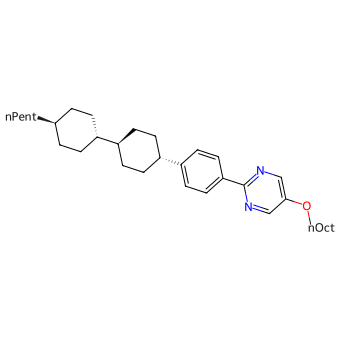 CCCCCCCCOc1cnc(-c2ccc([C@H]3CC[C@H]([C@H]4CC[C@H](CCCCC)CC4)CC3)cc2)nc1